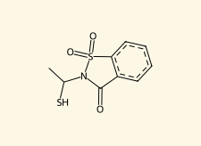 CC(S)N1C(=O)c2ccccc2S1(=O)=O